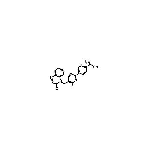 CN(C)c1ccc(-c2ccc(Cn3c(=O)cnc4ncccc43)c(F)c2)cn1